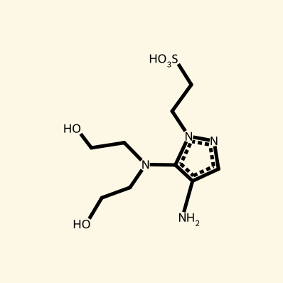 Nc1cnn(CCS(=O)(=O)O)c1N(CCO)CCO